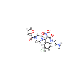 CN(C)CCn1c(=O)c([N+](=O)[O-])c(N2CCN(C(=O)c3ccco3)CC2)c2cc(Cl)ccc21